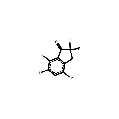 O=C1c2c(F)c(F)cc(Br)c2CC1(F)F